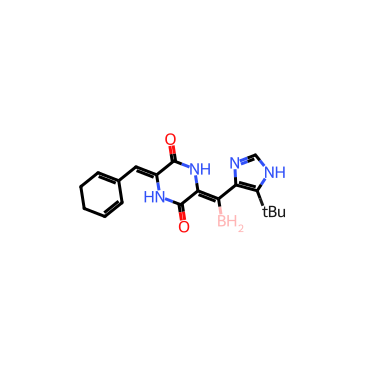 B/C(c1nc[nH]c1C(C)(C)C)=c1/[nH]c(=O)/c(=C/C2=CCCC=C2)[nH]c1=O